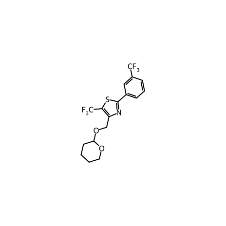 FC(F)(F)c1cccc(-c2nc(COC3CCCCO3)c(C(F)(F)F)s2)c1